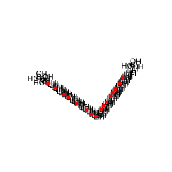 OB(O)O.OB(O)O.OB(O)O.[LiH].[LiH].[LiH].[LiH].[LiH].[LiH].[LiH].[LiH].[LiH].[LiH].[LiH].[LiH].[LiH].[LiH].[LiH].[LiH].[LiH].[LiH].[LiH].[LiH].[LiH].[LiH].[LiH].[LiH].[LiH].[LiH].[LiH].[LiH].[LiH].[LiH].[LiH].[LiH].[LiH].[LiH].[LiH].[LiH].[LiH].[LiH].[LiH].[LiH].[LiH].[LiH].[LiH].[LiH].[LiH].[LiH].[LiH].[LiH].[LiH].[LiH].[LiH].[LiH]